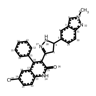 Cn1cc2cc(C3CC(c4c(-c5ccccc5)c5cc(Cl)ccc5[nH]c4=O)=NN3)ccc2n1